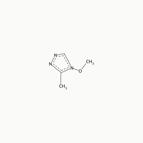 COn1cnnc1C